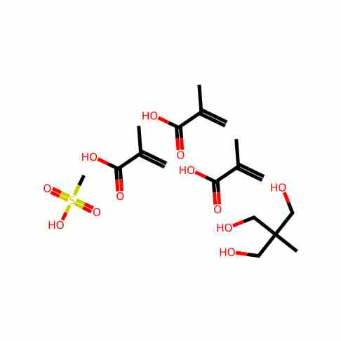 C=C(C)C(=O)O.C=C(C)C(=O)O.C=C(C)C(=O)O.CC(CO)(CO)CO.CS(=O)(=O)O